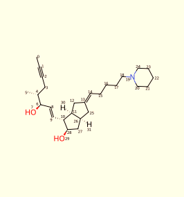 CC#CC[C@@H](C)[C@H](O)C=C[C@@H]1[C@H]2CC(=CCCCCN3CCCCC3)C[C@H]2C[C@H]1O